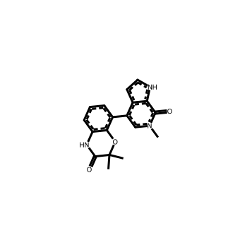 Cn1cc(-c2cccc3c2OC(C)(C)C(=O)N3)c2cc[nH]c2c1=O